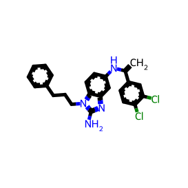 C=C(Nc1ccc2c(c1)nc(N)n2CCCc1ccccc1)c1ccc(Cl)c(Cl)c1